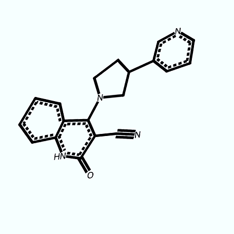 N#Cc1c(N2CCC(c3cccnc3)C2)c2ccccc2[nH]c1=O